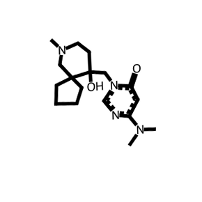 CN1CCC(O)(Cn2cnc(N(C)C)cc2=O)C2(CCCC2)C1